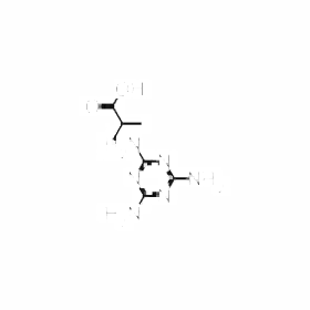 CC(C)C(=O)O.Nc1nc(N)nc(N)n1